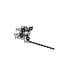 C#CC#CC#CC#CC#CC#CC#CC#CC#CNc1ccc(C(=O)OC[C@H]2O[C@H](O[C@H]3O[C@H](COC(=O)c4ccc(C)cc4)[C@@H](O)[C@H](O)[C@H]3O)[C@H](O)[C@@H](O)[C@@H]2O)cc1